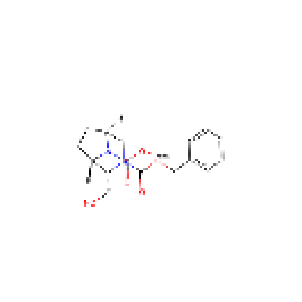 CC(C)(C)OC(=O)N1[C@H]2CC[C@H]1[C@@H](CO)N(C(=O)OCc1ccccc1)C2